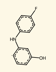 Oc1cc[c]c(Nc2ccc(F)cc2)c1